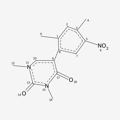 Cc1cc(C)c([N+](=O)[O-])cc1-c1cn(C)c(=O)n(C)c1=O